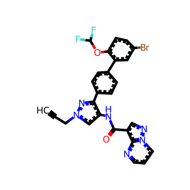 C#CCn1cc(NC(=O)c2cnn3cccnc23)c(-c2ccc(-c3cc(Br)ccc3OC(F)F)cc2)n1